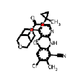 Cc1c(Cl)cc(Cl)c(Nc2ncnc(OC3C4COCC3CN(C(=O)OC3(C)CC3)C4)c2F)c1C#N